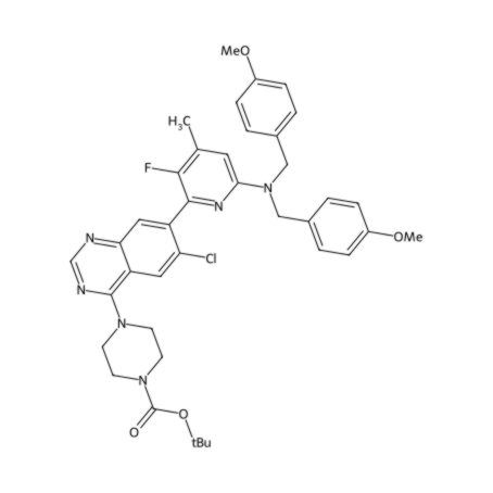 COc1ccc(CN(Cc2ccc(OC)cc2)c2cc(C)c(F)c(-c3cc4ncnc(N5CCN(C(=O)OC(C)(C)C)CC5)c4cc3Cl)n2)cc1